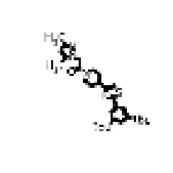 Cc1cc(C)n(CC(=O)N2CCC(c3csc(-c4cc(C(C)(C)C)cc(C(C)(C)C)c4)n3)CC2)n1